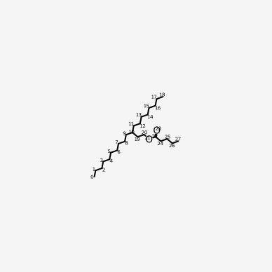 CCCCCCCCCCC(CCCCCCCC)CCOC(=O)CCCC